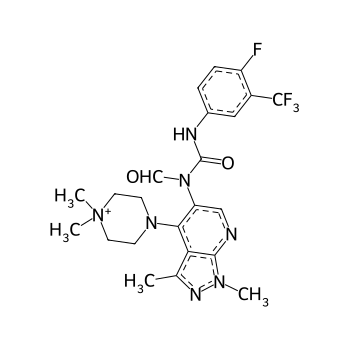 Cc1nn(C)c2ncc(N(C=O)C(=O)Nc3ccc(F)c(C(F)(F)F)c3)c(N3CC[N+](C)(C)CC3)c12